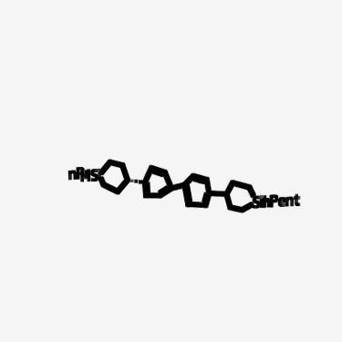 CCCCC[SiH]1CCC(c2ccc(-c3ccc([C@H]4CC[Si@H](CCC)CC4)cc3)cc2)CC1